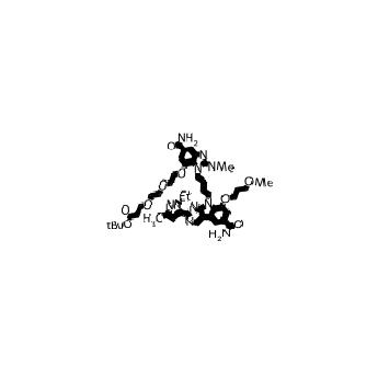 CCn1nc(C)cc1-c1ncc2c3cc(C(N)=O)cc(OCCCOC)c3n(C/C=C/Cn3c(NC)nc4cc(C(N)=O)cc(OCCOCCOCCC(=O)OC(C)(C)C)c43)c2n1